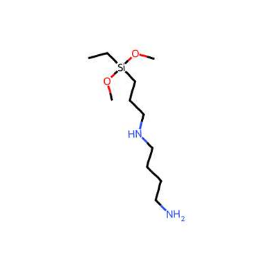 CC[Si](CCCNCCCCN)(OC)OC